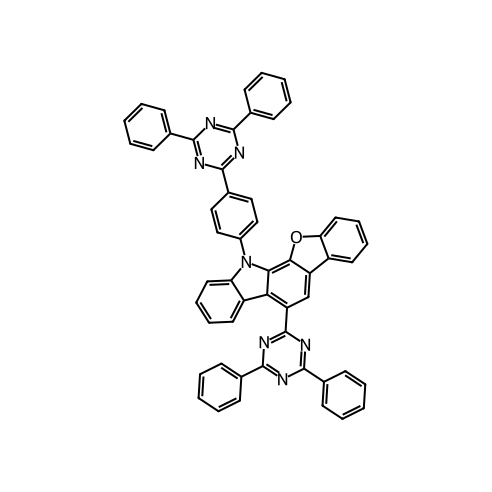 c1ccc(-c2nc(-c3ccccc3)nc(-c3ccc(-n4c5ccccc5c5c(-c6nc(-c7ccccc7)nc(-c7ccccc7)n6)cc6c7ccccc7oc6c54)cc3)n2)cc1